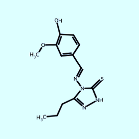 CCCc1n[nH]c(=S)n1N=Cc1ccc(O)c(OC)c1